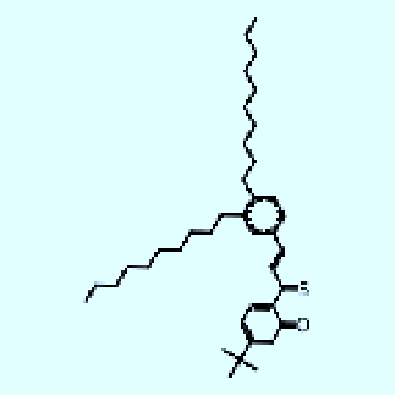 CCCCCCCCCCc1ccc(C=CC(=S)C2=CC=C(C(C)(C)C)CC2=O)cc1CCCCCCCCCC